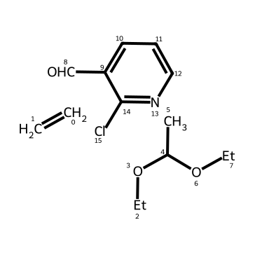 C=C.CCOC(C)OCC.O=Cc1cccnc1Cl